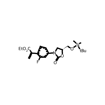 C=C(C(=O)OCC)c1ccc(N2C[C@H](CO[Si](C)(C)C(C)(C)C)OC2=O)cc1F